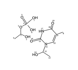 CC(O)OP(=O)(O)O.Cc1cn(C(C)O)c(=O)[nH]c1=O